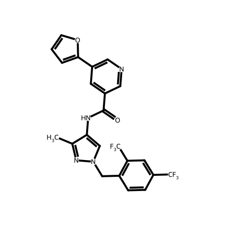 Cc1nn(Cc2ccc(C(F)(F)F)cc2C(F)(F)F)cc1NC(=O)c1cncc(-c2ccco2)c1